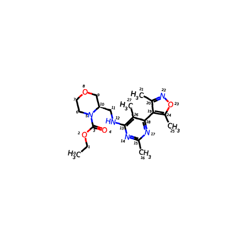 CCOC(=O)N1CCOC[C@H]1CNc1nc(C)nc(-c2c(C)noc2C)c1C